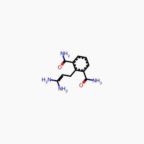 NC(=O)c1cccc(C(N)=O)c1CC=C(N)N